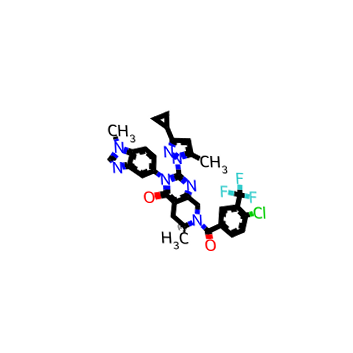 Cc1cc(C2CC2)nn1-c1nc2c(c(=O)n1-c1ccc3c(c1)ncn3C)C[C@@H](C)N(C(=O)c1ccc(Cl)c(C(F)(F)F)c1)C2